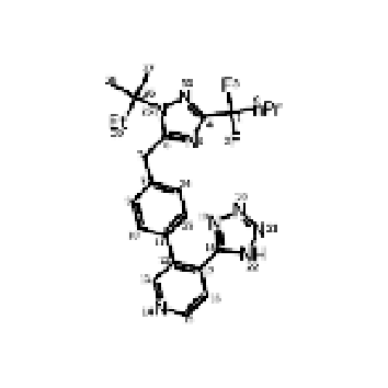 CCCC(F)(F)c1nc(Cc2ccc(-c3cnccc3-c3nnn[nH]3)cc2)n(C(C)(C)CC)n1